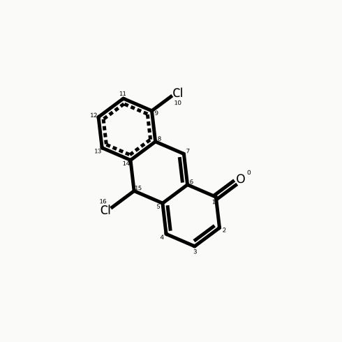 O=C1C=CC=C2C1=Cc1c(Cl)cccc1C2Cl